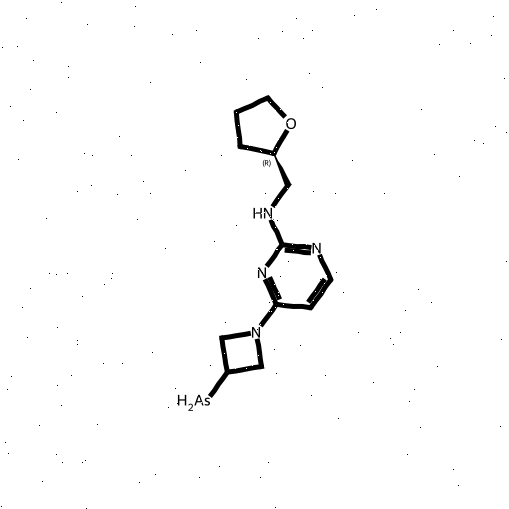 [AsH2]C1CN(c2ccnc(NC[C@H]3CCCO3)n2)C1